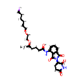 CC(CCCC(=O)Nc1cccc2c1C(=O)N(C1CCC(=O)NC1=O)C2=O)OCCOCCCCCCI